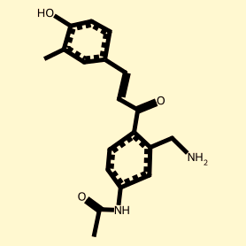 CC(=O)Nc1ccc(C(=O)/C=C/c2ccc(O)c(C)c2)c(CN)c1